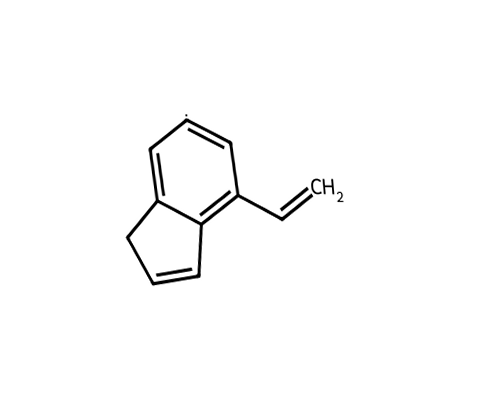 C=Cc1c[c]cc2c1C=CC2